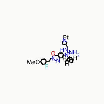 CCN1CCC(CNC(N)=[N+](c2ccc3c(=O)n(CCc4ccc(OC)cc4F)cnc3c2)C2C[C@@H]3C[C@H]([C@@H]2C)C3(C)C)C1